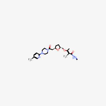 C=NNC(=O)/C(=C(\C)OC[C@H]1CC[C@H](CC(=O)N2CCN(c3ccc(C(F)(F)F)cn3)CC2)O1)C(F)(F)F